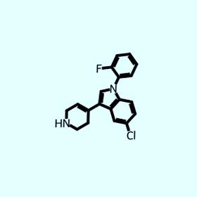 Fc1ccccc1-n1cc(C2=CCNCC2)c2cc(Cl)ccc21